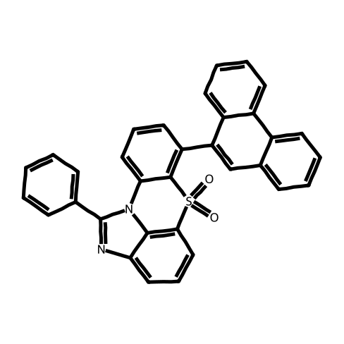 O=S1(=O)c2c(-c3cc4ccccc4c4ccccc34)cccc2-n2c(-c3ccccc3)nc3cccc1c32